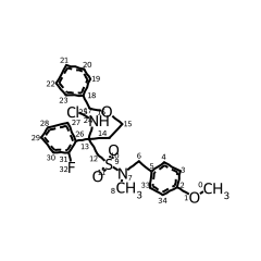 COc1ccc(CN(C)S(=O)(=O)CC(CCOCc2ccccc2)(NCl)c2ccccc2F)cc1